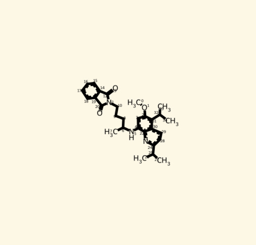 COc1cc(NC(C)CCCN2C(=O)c3ccccc3C2=O)c2nc(C(C)C)ccc2c1C(C)C